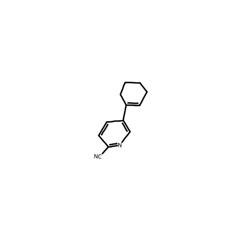 N#Cc1ccc(C2=CCCCC2)cn1